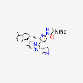 CN[C@@H](C)C(=O)Nc1ccc(-c2c(-c3cccnc3C)nc3cc(C)ccn23)c(C#Cc2ccc3c(C)cccc3c2)n1